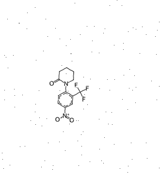 O=C1CCCCN1c1ccc([N+](=O)[O-])cc1C(F)(F)F